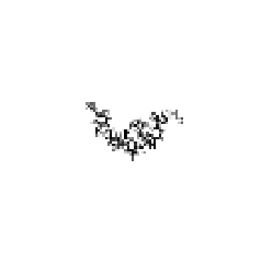 COC(=O)c1ccc2nc(Cc3cc(F)c(-n4ccc(OCc5ccc(C#N)cc5F)n4)cc3F)n(C[C@@H]3CCO3)c2c1